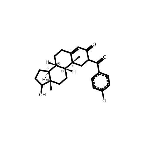 C[C@]12CC(C(=O)c3ccc(Cl)cc3)C(=O)C=C1CC[C@@H]1[C@H]2CC[C@]2(C)C(O)CC[C@@H]12